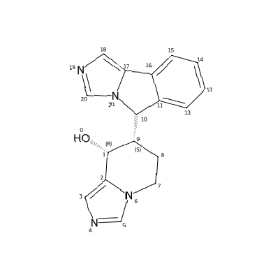 O[C@H]1c2cncn2CC[C@H]1C1c2ccccc2-c2cncn21